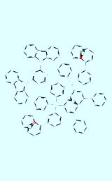 c1ccc(-c2cccc([Si](c3cccc(-c4ccccc4)c3)(c3cccc(-c4ccccc4)c3)c3cc(-c4nc(-n5c6ccccc6c6ccccc65)nc(-n5c6ccccc6c6ccccc65)n4)cc([Si](c4cccc(-c5ccccc5)c4)(c4cccc(-c5ccccc5)c4)c4cccc(-c5ccccc5)c4)c3)c2)cc1